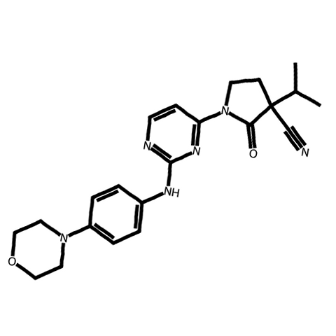 CC(C)C1(C#N)CCN(c2ccnc(Nc3ccc(N4CCOCC4)cc3)n2)C1=O